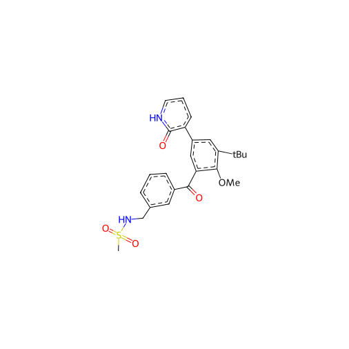 COc1c(C(=O)c2cccc(CNS(C)(=O)=O)c2)cc(-c2ccc[nH]c2=O)cc1C(C)(C)C